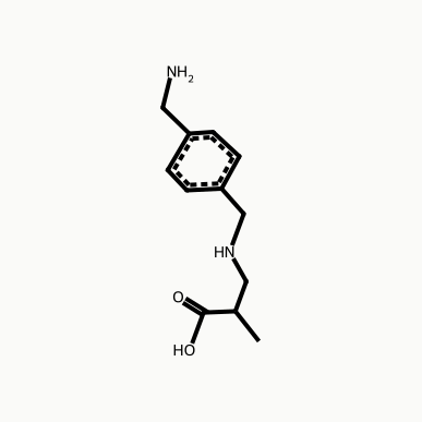 CC(CNCc1ccc(CN)cc1)C(=O)O